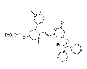 CCOC(=O)COC1CC(c2ccc(F)c(C)c2)=C(C=CC2CC(O[Si](c3ccccc3)(c3ccccc3)C(C)(C)C)CC(=O)O2)C(C)(C)C1